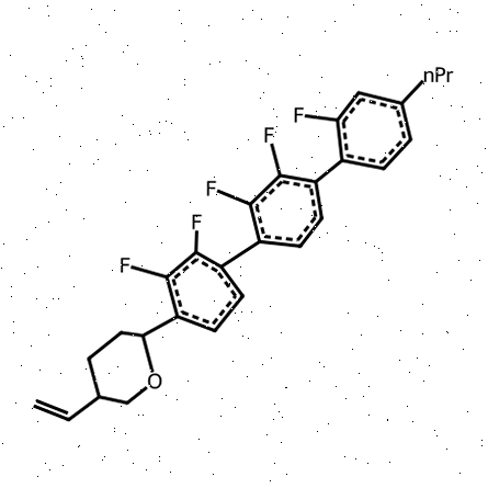 C=CC1CCC(c2ccc(-c3ccc(-c4ccc(CCC)cc4F)c(F)c3F)c(F)c2F)OC1